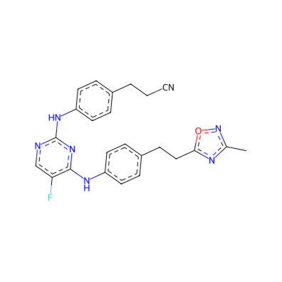 Cc1noc(CCc2ccc(Nc3nc(Nc4ccc(CCC#N)cc4)ncc3F)cc2)n1